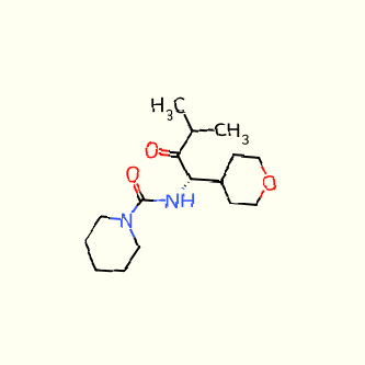 CC(C)C(=O)[C@@H](NC(=O)N1CCCCC1)C1CCOCC1